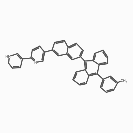 Cc1cccc(-c2c3ccccc3c(-c3ccc4ccc(-c5ccc(C6=CNCC=C6)nc5)cc4c3)c3ccccc23)c1